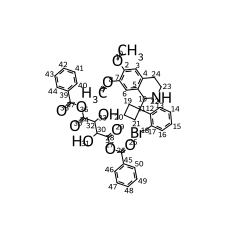 COc1cc2c(cc1OC)C(C1(c3ccccc3Br)CCC1)NCC2.O=C(OC(=O)C(O)C(O)C(=O)OC(=O)c1ccccc1)c1ccccc1